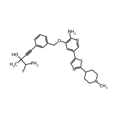 CN1CCC(c2ncc(-c3cnc(N)c(OCc4cccc(C#CC(C)(O)C(F)P)c4)c3)s2)CC1